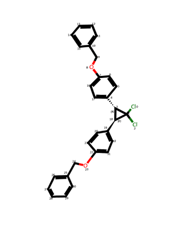 ClC1(Cl)[C@@H](c2ccc(OCc3ccccc3)cc2)[C@@H]1c1ccc(OCc2ccccc2)cc1